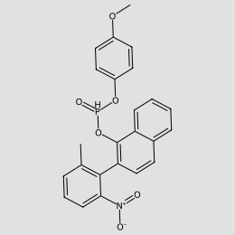 COc1ccc(O[PH](=O)Oc2c(-c3c(C)cccc3[N+](=O)[O-])ccc3ccccc23)cc1